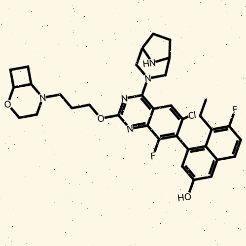 CCc1c(F)ccc2cc(O)cc(-c3c(Cl)cc4c(N5CC6CCC(C5)N6)nc(OCCCN5CCOC6CCC65)nc4c3F)c12